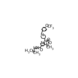 CN(C)CCNC(=O)c1cnc2c(c1)n(C)c(=O)c(=O)n2C1CCN(Cc2ccc(OC(F)(F)F)cc2)CC1